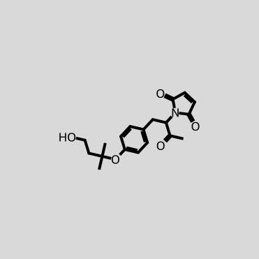 CC(=O)C(Cc1ccc(OC(C)(C)CCO)cc1)N1C(=O)C=CC1=O